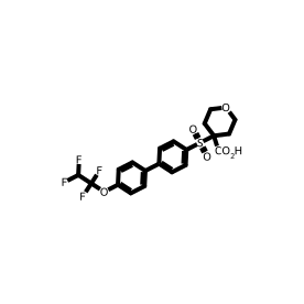 O=C(O)C1(S(=O)(=O)c2ccc(-c3ccc(OC(F)(F)C(F)F)cc3)cc2)CCOCC1